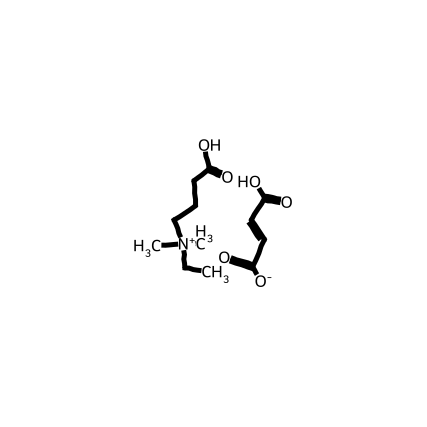 CC[N+](C)(C)CCCC(=O)O.O=C([O-])C=CC(=O)O